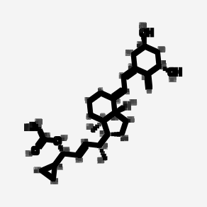 C=C1/C(=C\C=C2/CCC[C@]3(C)[C@@H]([C@H](C)/C=C/[C@@H](OC(=O)CCCC)C4CC4)CC[C@@H]23)C[C@@H](O)C[C@@H]1O